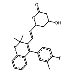 Cc1cc(C2=C(C=CC3CC(O)CC(=O)O3)C(C)(C)Sc3ccccc32)ccc1F